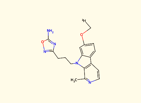 [2H]COc1ccc2c3ccnc(C)c3n(CCCc3noc(N)n3)c2c1